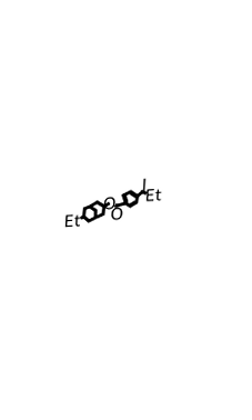 CCC1CC2CC(C1)CC(OC(=O)c1ccc(C(I)CC)cc1)C2